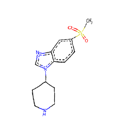 CS(=O)(=O)c1ccc2c(c1)ncn2C1CCNCC1